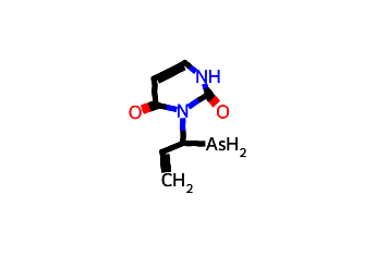 C=CC([AsH2])n1c(=O)cc[nH]c1=O